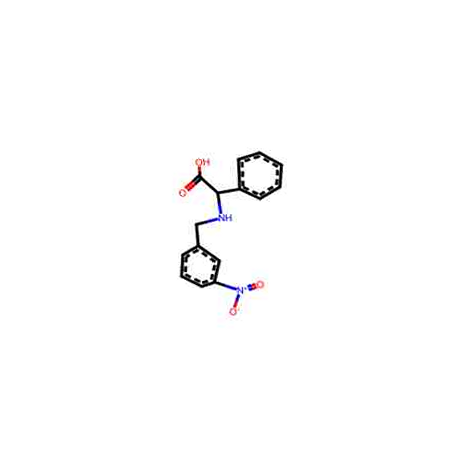 O=C(O)C(NCc1cccc([N+](=O)[O-])c1)c1ccccc1